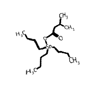 CCC[CH2][Sn]([CH2]CCC)([CH2]CCC)[O]C(=O)CC(C)C